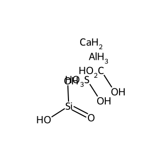 O=C(O)O.O=S(=O)(O)O.O=[Si](O)O.[AlH3].[CaH2]